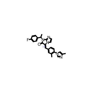 Cc1cn(-c2ccc(/C=c3/c(=O)n(C(C)c4ccc(F)cc4)c4nccn34)cc2C)cn1